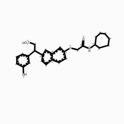 O=C(O)CC(c1cccc(O)c1)c1ccc2ccc(OCC(=O)NC3CCCCCC3)cc2c1